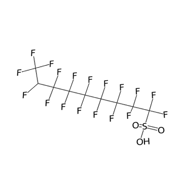 O=S(=O)(O)C(F)(F)C(F)(F)C(F)(F)C(F)(F)C(F)(F)C(F)(F)C(F)(F)C(F)C(F)(F)F